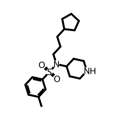 Cc1cccc(S(=O)(=O)N(CCCC2CCCC2)C2CCNCC2)c1